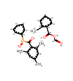 Cc1cc(C)c(C(=O)[P](=O)c2ccccc2)c(C)c1.Cc1ccccc1C(=O)OC=O